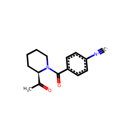 [C-]#[N+]c1ccc(C(=O)N2CCCC[C@@H]2C(C)=O)cc1